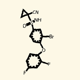 N#CC1(S(=N)(=O)c2ccc(Oc3ccc(F)cc3F)c(Br)c2)CC1